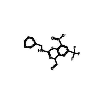 O=CC1N=C(NCc2ccccc2)Sc2c1cc(C(F)(F)F)cc2[N+](=O)[O-]